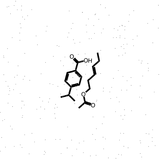 CC(C)c1ccc(C(=O)O)cc1.CCC=CCCOC(C)=O